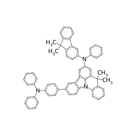 CC1(C)c2ccccc2-c2cc(N(c3ccccc3)c3cc4c5c(c3)c3cc(-c6ccc(N(c7ccccc7)c7ccccc7)cc6)ccc3n5-c3ccccc3C4(C)C)ccc21